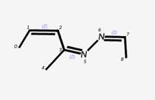 C\C=C/C(C)=N\N=C/C